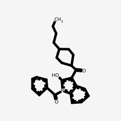 CCCCC1CCC(C(=O)c2c(O)n(C(=O)c3ccccc3)c3ccccc23)CC1